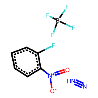 F[B-](F)(F)F.N#[NH+].O=[N+]([O-])c1ccccc1F